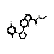 CCNC(=O)c1nnc2ccc(N3CCC[C@@H]3c3cc(F)ccc3F)nn12